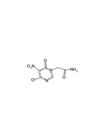 NC(=O)Cn1cnc(Cl)c([N+](=O)[O-])c1=O